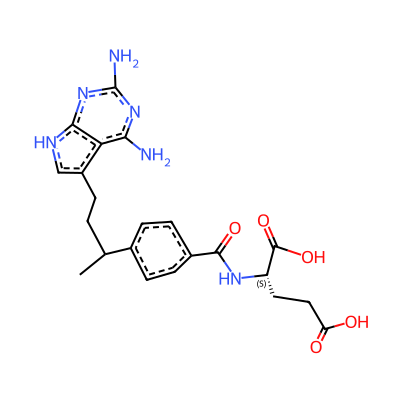 CC(CCc1c[nH]c2nc(N)nc(N)c12)c1ccc(C(=O)N[C@@H](CCC(=O)O)C(=O)O)cc1